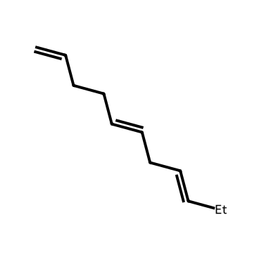 C=CCCC=CCC=CCC